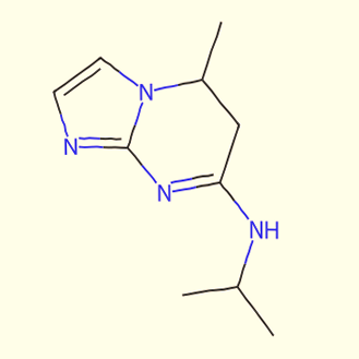 CC(C)NC1=Nc2nccn2C(C)C1